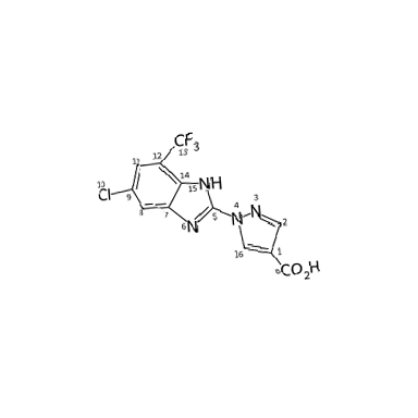 O=C(O)c1cnn(-c2nc3cc(Cl)cc(C(F)(F)F)c3[nH]2)c1